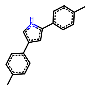 Cc1ccc(-c2c[nH]c(-c3ccc(C)cc3)c2)cc1